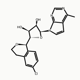 Cc1ncnc2c1ccn2[C@H]1O[C@H]([C@@H]2OCCc3cc(Cl)ccc32)[C@@H](O)[C@H]1O